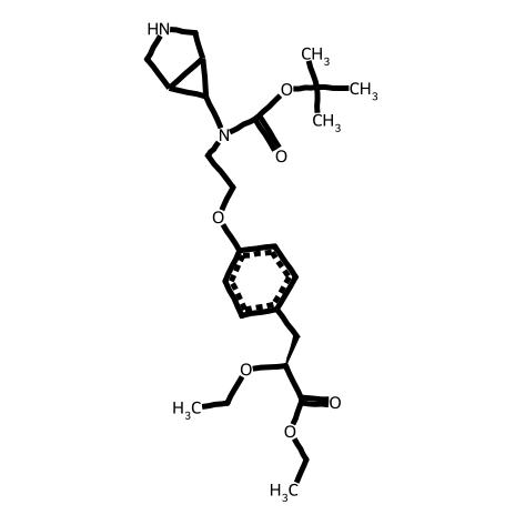 CCOC(=O)[C@H](Cc1ccc(OCCN(C(=O)OC(C)(C)C)C2C3CNCC32)cc1)OCC